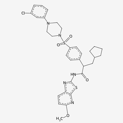 COc1ccc2nc(NC(=O)C(CC3CCCC3)c3ccc(S(=O)(=O)N4CCN(c5cccc(Cl)c5)CC4)cc3)sc2n1